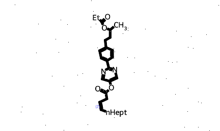 CCCCCCC/C=C\CC(=O)Oc1cnc(-c2ccc(CCC(C)OC(=O)CC)cc2)nc1